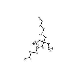 CCCCOCC(CO)(CO)COCCCC